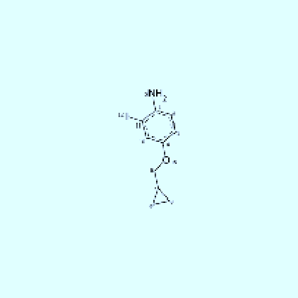 Nc1ccc(OCC2CC2)cc1I